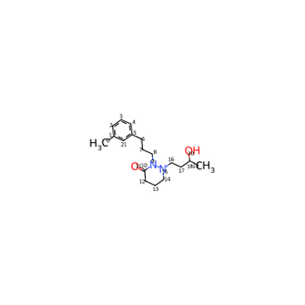 Cc1cccc(CCCN2C(=O)CCCN2CCC(C)O)c1